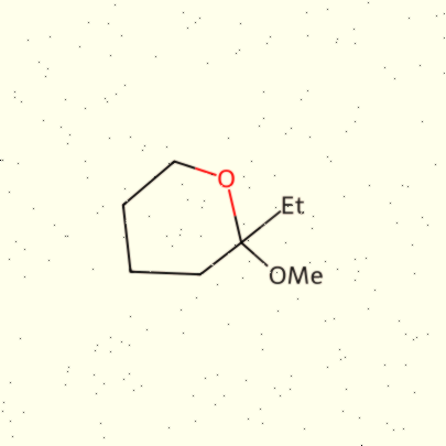 CCC1(OC)CCCCO1